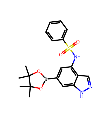 CC1(C)OB(c2cc(NS(=O)(=O)c3ccccc3)c3cn[nH]c3c2)OC1(C)C